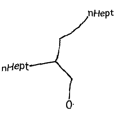 CCCCCCCCCC(C[O])CCCCCCC